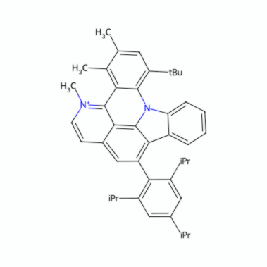 Cc1cc(C(C)(C)C)c2c(c1C)c1c3c(cc[n+]1C)cc(-c1c(C(C)C)cc(C(C)C)cc1C(C)C)c1c4ccccc4n2c13